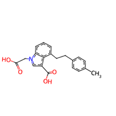 Cc1ccc(CCc2cccc3c2c(C(=O)O)cn3CC(=O)O)cc1